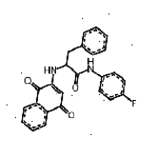 O=C1C=C(NC(Cc2ccccc2)C(=O)Nc2ccc(F)cc2)C(=O)c2ccccc21